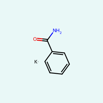 NC(=O)c1ccccc1.[K]